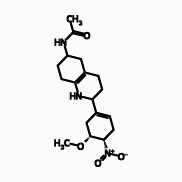 CO[C@@H]1CC(C2CCC3=C(CCC(NC(C)=O)C3)N2)=CC[C@@H]1[N+](=O)[O-]